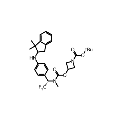 CN(C(=O)OC1CN(C(=O)OC(C)(C)C)C1)[C@@H](c1ccc(NC2Cc3ccccc3C2(C)C)cc1)C(F)(F)F